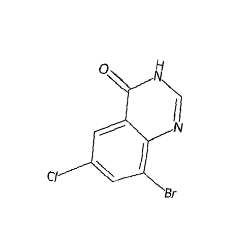 O=c1[nH]cnc2c(Br)cc(Cl)cc12